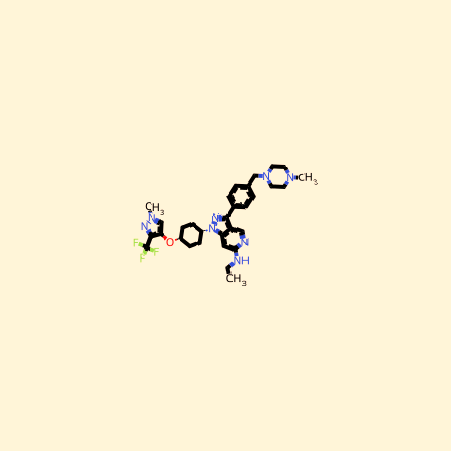 CCNc1cc2c(cn1)c(-c1ccc(CN3CCN(C)CC3)cc1)nn2[C@H]1CC[C@@H](Oc2cn(C)nc2C(F)(F)F)CC1